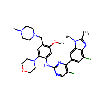 CCOc1cc(Nc2ncc(F)c(-c3cc(F)c4nc(C)n(C(C)C)c4c3)n2)c(N2CCOCC2)cc1CN1CCN(CC)CC1